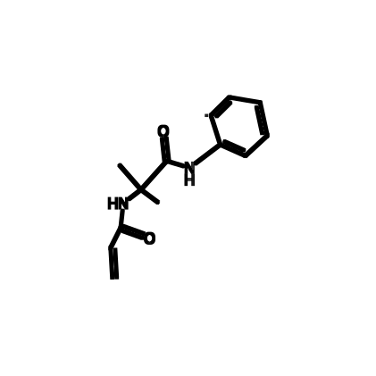 C=CC(=O)NC(C)(C)C(=O)Nc1[c]cccc1